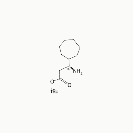 CC(C)(C)OC(=O)C[C@H](N)C1CCCCCC1